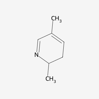 CC1=CCC(C)N=C1